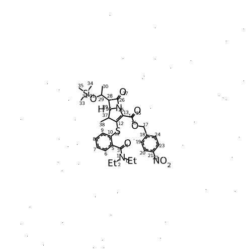 CCN(CC)C(=O)c1ccccc1SC1=C(C(=O)OCc2ccc([N+](=O)[O-])cc2)N2C(=O)C(C(C)O[Si](C)(C)C)[C@@H]2C1C